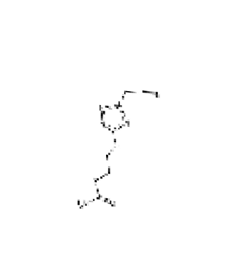 N#CCn1nnc([CH]CCSC(N)=O)n1